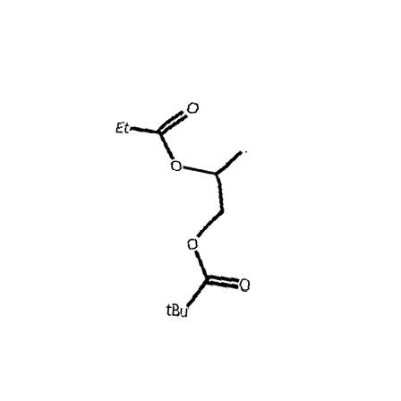 [CH2]C(COC(=O)C(C)(C)C)OC(=O)CC